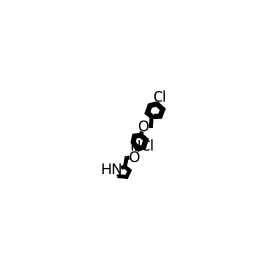 Cl.Clc1ccc(COc2ccc(OCC3CCCN3)cc2)cc1